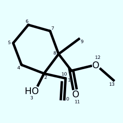 C=CC1(O)CCCCC1(C)C(=O)OC